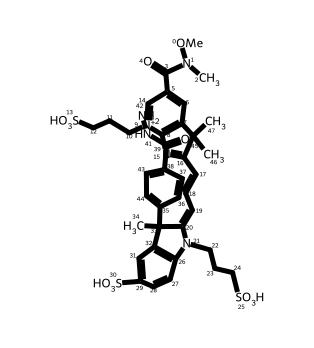 CON(C)C(=O)c1cc2c([n+](CCCS(=O)(=O)O)c1)N=C(/C=C/C=C1/N(CCCS(=O)(=O)O)c3ccc(S(=O)(=O)O)cc3C1(C)c1ccc(C(=O)NN)cc1)C2(C)C